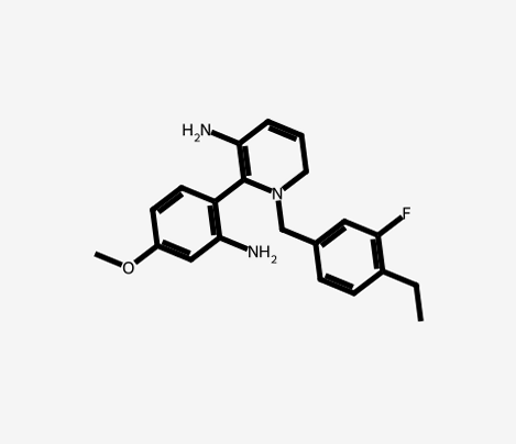 CCc1ccc(CN2CC=CC(N)=C2c2ccc(OC)cc2N)cc1F